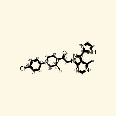 Cc1ncnc2c1c(-c1ncc[nH]1)nn2CC(=O)N1CCN(c2ccc(Cl)cc2)C[C@@H]1C